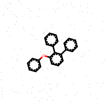 c1ccc(Oc2cccc(-c3ccccc3)c2-c2ccccc2)cc1